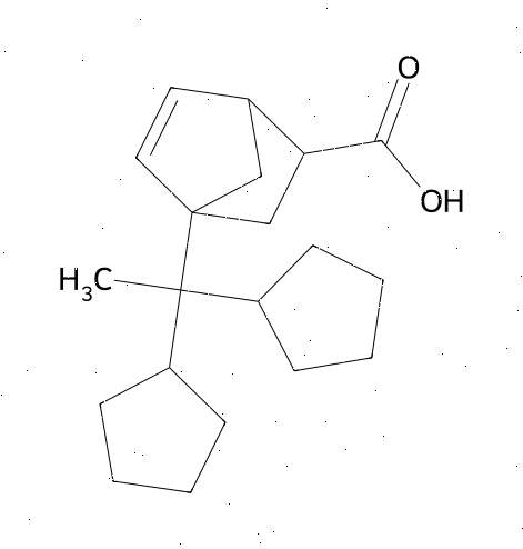 CC(C1CCCC1)(C1CCCC1)C12C=CC(C1)C(C(=O)O)C2